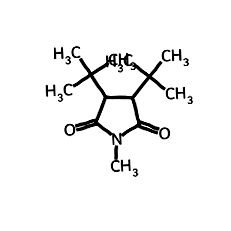 CN1C(=O)C(C(C)(C)C)C(C(C)(C)C)C1=O